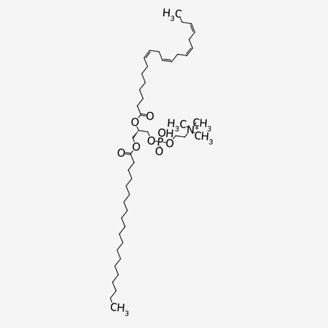 CC/C=C\C/C=C\C/C=C\C/C=C\CCCCCCC(=O)O[C@H](COC(=O)CCCCCCCCCCCCCCCCCCC)COP(=O)(O)OCC[N+](C)(C)C